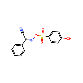 N#C/C(=N\OS(=O)(=O)c1ccc(O)cc1)c1ccccc1